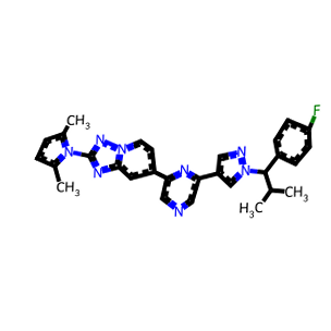 Cc1ccc(C)n1-c1nc2cc(-c3cncc(-c4cnn(C(c5ccc(F)cc5)C(C)C)c4)n3)ccn2n1